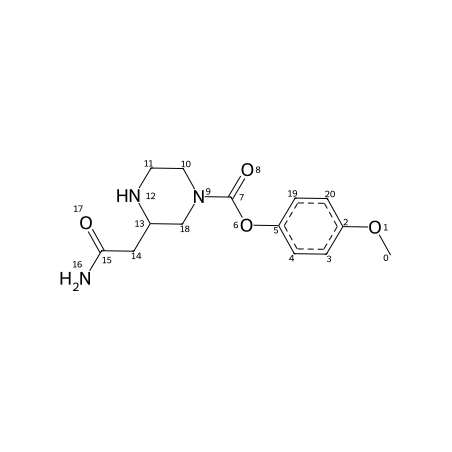 COc1ccc(OC(=O)N2CCNC(CC(N)=O)C2)cc1